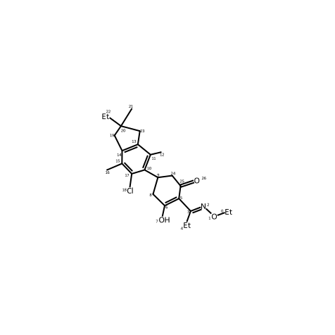 CCON=C(CC)C1=C(O)CC(c2c(C)c3c(c(C)c2Cl)CC(C)(CC)C3)CC1=O